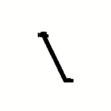 CSSSSSSSSSSSSSSSSSSSSSSSSSSSSSSSSSSSSSSSSSSSSSSSSSSSSSSSSSSSSSSSSS(=S)(=S)NP